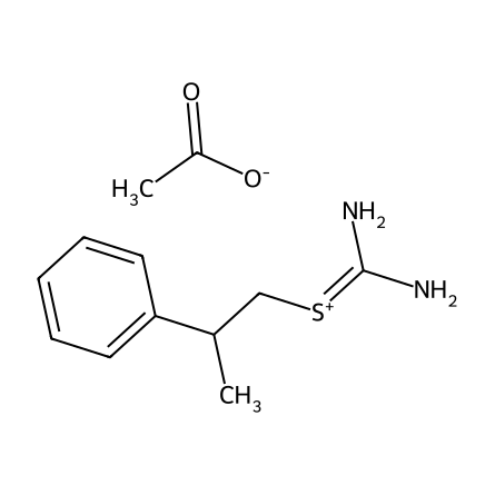 CC(=O)[O-].CC(C[S+]=C(N)N)c1ccccc1